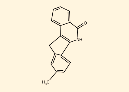 Cc1ccc2c(c1)Cc1c-2[nH]c(=O)c2ccccc12